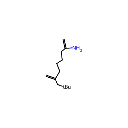 C=C(N)CCCCC(=C)CC(C)(C)C